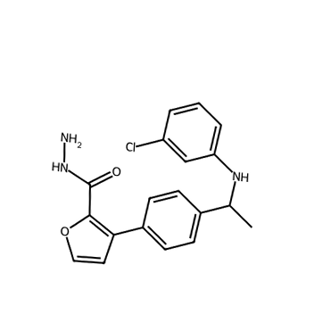 CC(Nc1cccc(Cl)c1)c1ccc(-c2ccoc2C(=O)NN)cc1